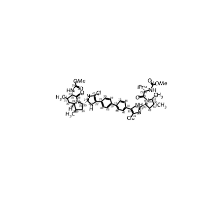 COC(=O)N[C@H](C(=O)N1[C@H](c2nc(Cl)c(-c3ccc(-c4ccc(-c5[nH]c([C@@H]6C[C@@H](C)[C@@H]7CC(C)[C@H](NC(=O)OC)C(=O)N67)nc5Cl)cc4)cc3)[nH]2)C[C@@H](C)[C@@H]1C)C(C)C